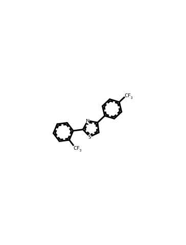 FC(F)(F)c1ccc(-c2csc(-c3ccccc3C(F)(F)F)n2)cc1